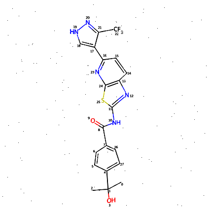 CC(C)(O)c1ccc(C(=O)Nc2nc3ccc(-c4c[nH]nc4C(F)(F)F)nc3s2)cc1